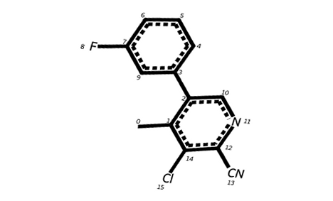 Cc1c(-c2cccc(F)c2)cnc(C#N)c1Cl